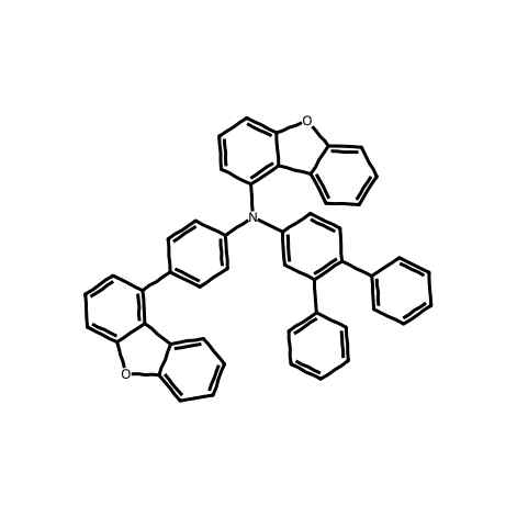 c1ccc(-c2ccc(N(c3ccc(-c4cccc5oc6ccccc6c45)cc3)c3cccc4oc5ccccc5c34)cc2-c2ccccc2)cc1